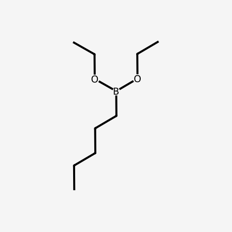 CCCCCB(OCC)OCC